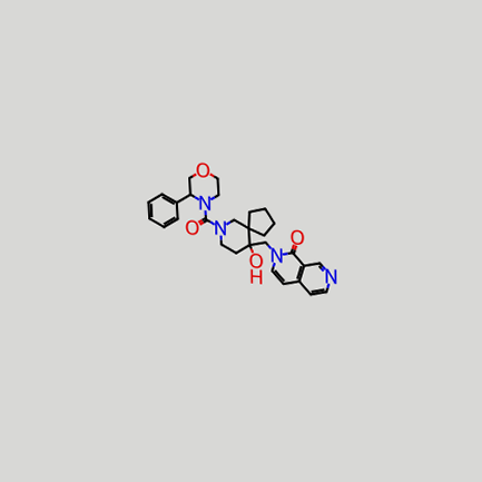 O=C(N1CCC(O)(Cn2ccc3ccncc3c2=O)C2(CCCC2)C1)N1CCOCC1c1ccccc1